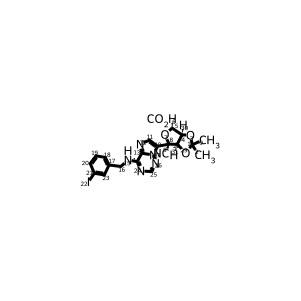 CC1(C)O[C@@H]2[C@@H](C(=O)O)O[C@@](C#N)(c3cnc4c(NCc5cccc(I)c5)ncnn34)[C@@H]2O1